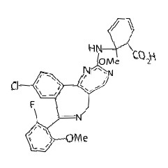 COc1cccc(F)c1C1=NCc2cnc(NC3(OC)C=CC=CC3C(=O)O)nc2-c2ccc(Cl)cc21